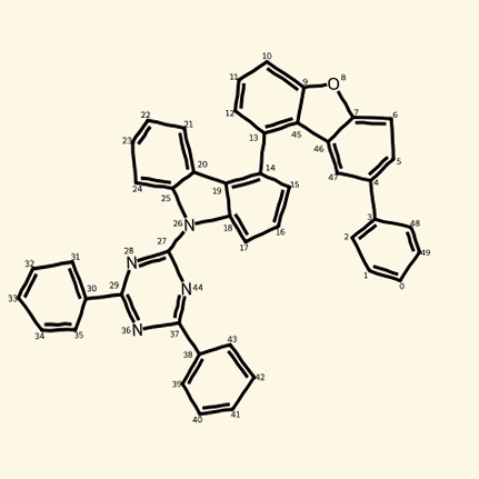 c1ccc(-c2ccc3oc4cccc(-c5cccc6c5c5ccccc5n6-c5nc(-c6ccccc6)nc(-c6ccccc6)n5)c4c3c2)cc1